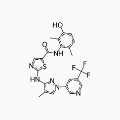 Cc1cn(-c2cncc(C(F)(F)F)c2)nc1Nc1ncc(C(=O)Nc2c(C)ccc(O)c2C)s1